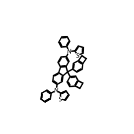 c1ccc(N(c2ccc3c(c2)C(c2ccc4c(c2)CC4)(c2ccc4c(c2)CC4)c2cc(N(c4ccccc4)c4cccs4)ccc2-3)c2cccs2)cc1